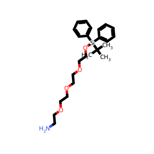 CC(C)(C)[Si](OCCOCCOCCOCCN)(c1ccccc1)c1ccccc1